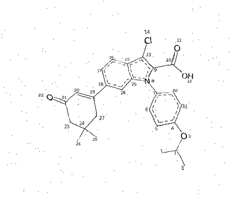 CC(C)Oc1ccc(-n2c(C(=O)O)c(Cl)c3ccc(C4=CC(=O)CC(C)(C)C4)cc32)cc1